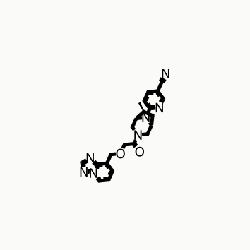 C[C@H]1CC2CN(C(=O)COCc3cccn4ncnc34)CC1N2c1ccc(C#N)cn1